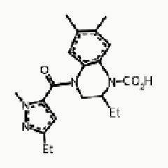 CCc1cc(C(=O)N2CC(CC)N(C(=O)O)c3cc(C)c(C)cc32)n(C)n1